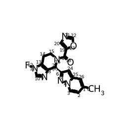 Cc1ccn2nc([C@H]3c4ncn(F)c4CCN3C(=O)c3cnco3)cc2c1